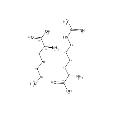 CC(=N)NCCCC[C@H](N)C(=O)O.NCCCC[C@H](N)C(=O)O